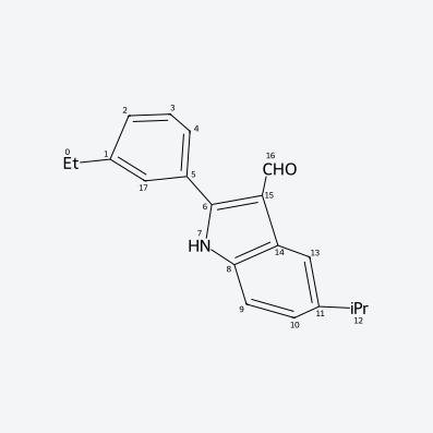 CCc1cccc(-c2[nH]c3ccc(C(C)C)cc3c2C=O)c1